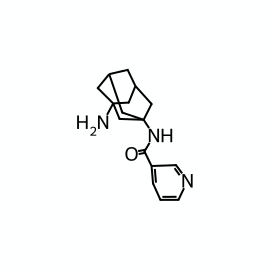 NC12CC3CC(C1)CC(NC(=O)c1cccnc1)(C3)C2